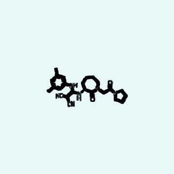 Cc1cc(C)cc(NC(N[C@H]2CCCCN(CC(=O)N3CCCC3)C2=O)=C(C#N)C#N)c1